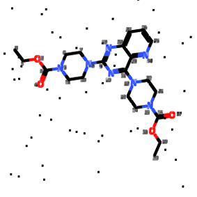 CCOC(=O)N1CCN(c2nc(N3CCN(C(=O)OCC)CC3)c3ncccc3n2)CC1